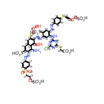 Nc1c(N=Nc2ccc(S(=O)(=O)CCOS(=O)(=O)O)cc2)c(S(=O)(=O)O)cc2cc(SOOO)c(N=Nc3cc(Nc4nc(Cl)nc(SCC(=O)O)n4)c(N=Nc4ccc(SC#COOS(=O)(=O)O)cc4)cc3S(=O)(=O)O)c(O)c12